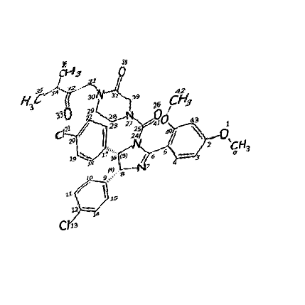 COc1ccc(C2=N[C@H](c3ccc(Cl)cc3)[C@H](c3ccc(Cl)cc3)N2C(=O)N2CCN(CC(=O)C(C)C)C(=O)C2)c(OC)c1